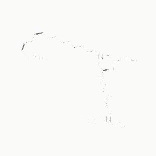 CCCCC/C=C\C/C=C\CCCCCCCCN(CCCCCCCCCCCC)CC(=O)OCCOCCN(CCCCCCCC)CCCCCCCC